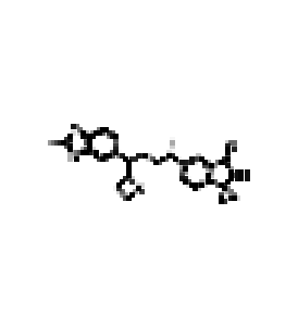 Cc1nc2cc(C(CCC(C)c3ccc4c(c3)C(=O)NC43CC3)C3CCS3)ccc2o1